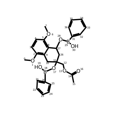 COc1ccc(OC)c2c1CC(COC(C)=O)(OB(O)c1ccccc1)CC2OB(O)c1ccccc1